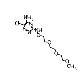 COCCOCCOCCONc1nnc(Cl)c(N)n1